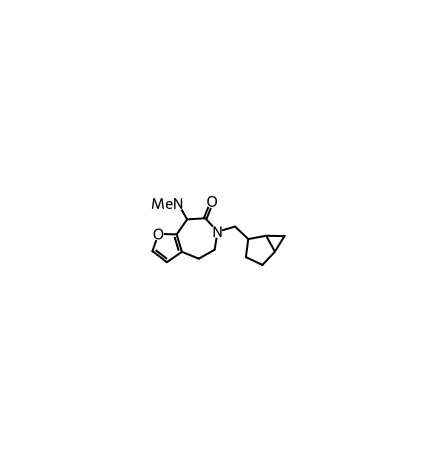 CNC1C(=O)N(CC2CCC3CC32)CCc2ccoc21